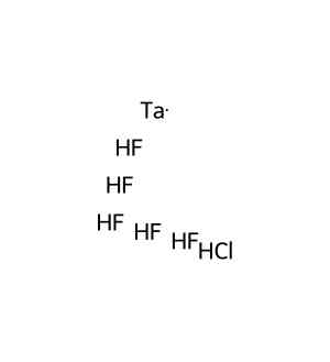 Cl.F.F.F.F.F.[Ta]